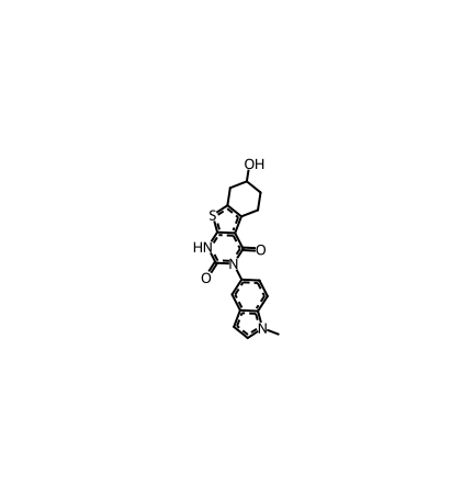 Cn1ccc2cc(-n3c(=O)[nH]c4sc5c(c4c3=O)CCC(O)C5)ccc21